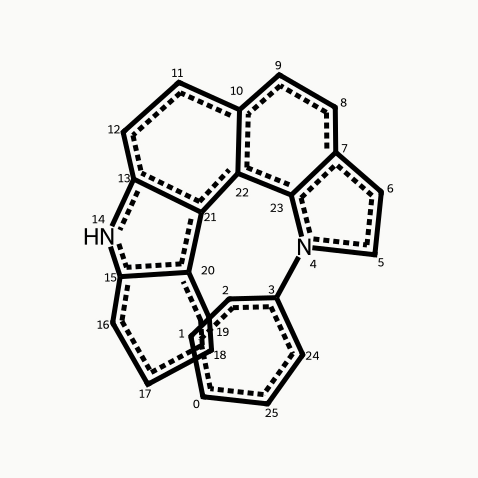 c1ccc(-n2ccc3ccc4ccc5[nH]c6ccccc6c5c4c32)cc1